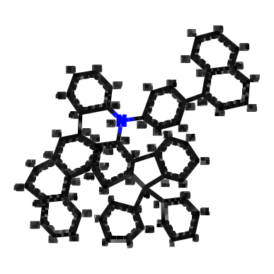 c1ccc(C2(c3ccccc3)c3ccccc3-c3c(N(c4ccc(-c5cccc6ccccc56)cc4)c4ccccc4-c4ccc5c(ccc6ccccc65)c4)cccc32)cc1